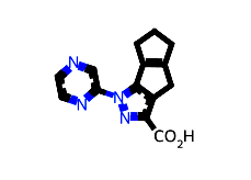 O=C(O)c1nn(-c2cnccn2)c2c1CC1=C2CCC1